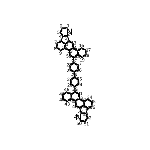 c1cnc2c(c1)-c1cccc3c1c-2cc1c2ccccc2c(-c2ccc(-c4ccc(-c5cc6c7cccc8c7c(cc6c6ccccc56)-c5ncccc5-8)cc4)cc2)cc31